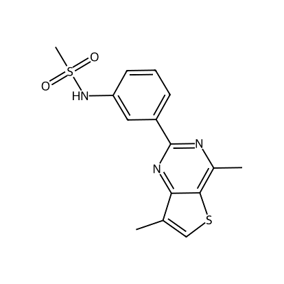 Cc1csc2c(C)nc(-c3cccc(NS(C)(=O)=O)c3)nc12